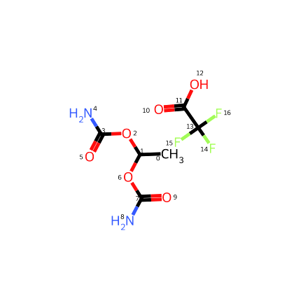 CC(OC(N)=O)OC(N)=O.O=C(O)C(F)(F)F